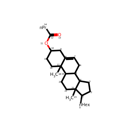 CCCCCCC1CCC2C3CC=C4CC(OC(=O)CCC)CCC4(C)C3CCC12C